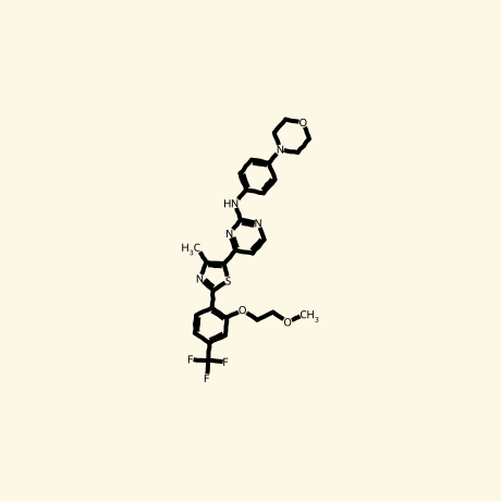 COCCOc1cc(C(F)(F)F)ccc1-c1nc(C)c(-c2ccnc(Nc3ccc(N4CCOCC4)cc3)n2)s1